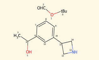 CC(C)(C)OC=O.CC(O)c1cccc(C2CNC2)c1